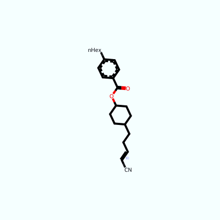 CCCCCCc1ccc(C(=O)OC2CCC(CC/C=C/C#N)CC2)cc1